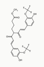 COC(=O)CCCC(C(=O)/C=C/c1ccc(O)c(OC(F)(F)F)c1)C(=O)/C=C/c1ccc(O)c(OC(F)(F)F)c1